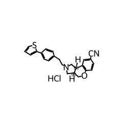 Cl.N#Cc1ccc2c(c1)[C@H]1CN(CCc3ccc(-c4cccs4)cc3)C[C@@H]1CO2